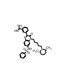 C[C@@H]1CCC[C@H](C)N1CCCCCn1c(=O)c(-c2cccc(C(=N)N)c2)nc2ccc(NS(=O)(=O)c3ccccc3)cc21